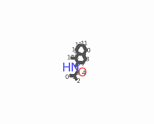 C=C(C)C(=O)NC1=CC=C2C=CC=CC2C1C